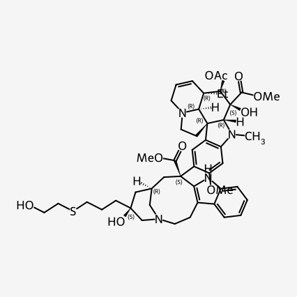 CC[C@]12C=CCN3CC[C@@]4(c5cc([C@@]6(C(=O)OC)C[C@H]7CN(CCc8c6[nH]c6ccccc86)C[C@](O)(CCCSCCO)C7)c(OC)cc5N(C)[C@H]4[C@@](O)(C(=O)OC)[C@@H]1OC(C)=O)[C@@H]32